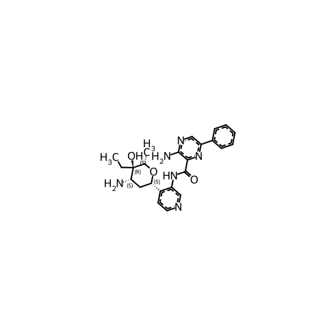 CC[C@]1(O)[C@H](C)O[C@H](c2ccncc2NC(=O)c2nc(-c3ccccc3)cnc2N)C[C@@H]1N